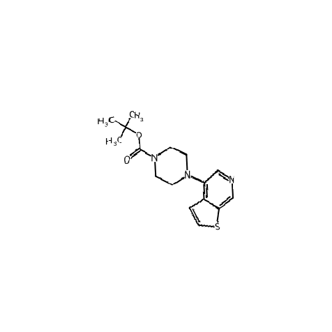 CC(C)(C)OC(=O)N1CCN(c2cncc3sccc23)CC1